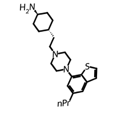 CCCc1cc(N2CCN(CC[C@H]3CC[C@H](N)CC3)CC2)c2sccc2c1